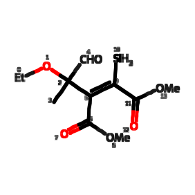 CCOC(C)(C=O)C(C(=O)OC)=C([SiH3])C(=O)OC